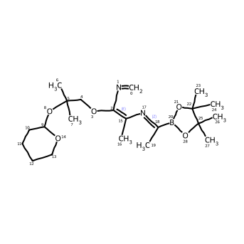 C=N/C(OCC(C)(C)OC1CCCCO1)=C(C)\N=C(/C)B1OC(C)(C)C(C)(C)O1